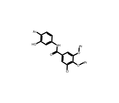 CC(=O)c1ccc(NC(=O)c2cc(Cl)c(OC(C)C)c(OC(C)C)c2)cc1O